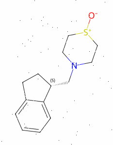 [O-][S+]1CCN(C[C@H]2CCc3ccccc32)CC1